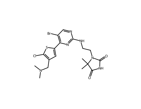 CN(C)Cc1cc(-c2nc(NCCN3C(=O)NC(=O)C3(C)C)ncc2Br)sc1Cl